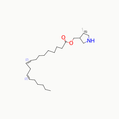 CCCCC/C=C\C/C=C\CCCCCCCC(=O)OCC1CNC[C@H]1C